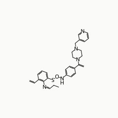 C=Cc1cccc(SONc2ccc(C(=C)N3CCN(Cc4cccnc4)CC3)cc2)c1/N=C\CC